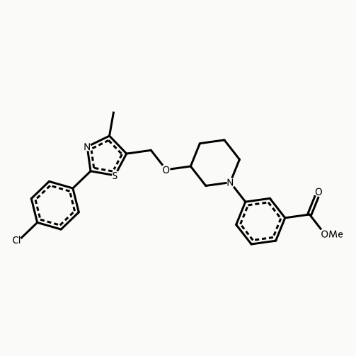 COC(=O)c1cccc(N2CCCC(OCc3sc(-c4ccc(Cl)cc4)nc3C)C2)c1